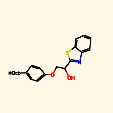 CCCCCCCCc1ccc(OCC(O)c2nc3ccccc3s2)cc1